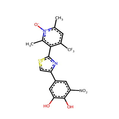 Cc1cc(C(F)(F)F)c(-c2nc(-c3cc(O)c(O)c([N+](=O)[O-])c3)cs2)c(C)[n+]1[O-]